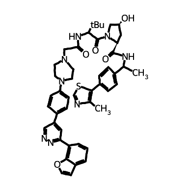 Cc1ncsc1-c1ccc(C(C)NC(=O)[C@@H]2C[C@@H](O)CN2C(=O)C(NC(=O)CN2CCN(c3ccc(-c4cnnc(-c5cccc6ccoc56)c4)cc3)CC2)C(C)(C)C)cc1